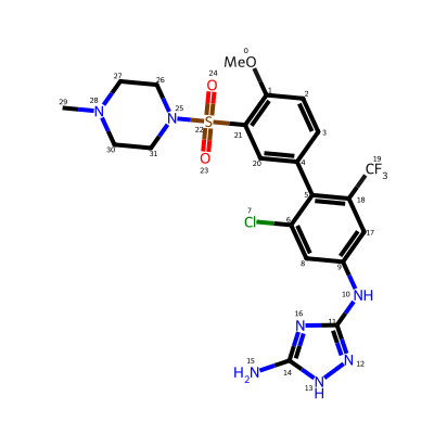 COc1ccc(-c2c(Cl)cc(Nc3n[nH]c(N)n3)cc2C(F)(F)F)cc1S(=O)(=O)N1CCN(C)CC1